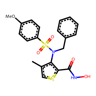 COc1ccc(S(=O)(=O)N(Cc2ccccc2)c2c(C)csc2C(=O)NO)cc1